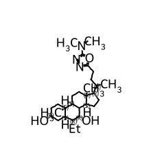 CC[C@H]1[C@@H](O)C2[C@@H]3CC[C@H]([C@H](C)CCc4nnc(N(C)C)o4)[C@@]3(C)CC[C@@H]2[C@@]2(C)CC[C@@H](O)C[C@@H]12